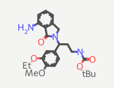 CCOc1cc(C(CC[N]C(=O)OC(C)(C)C)N2Cc3cccc(N)c3C2=O)ccc1OC